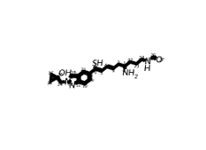 NC(C/C=C/C=C(\S)c1ccc2nn(CC3(O)CC3)cc2c1)CCCNC=O